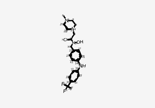 CN1CCN(CC(=O)N(O)Cc2ccc(Nc3ccc(C(F)(F)F)cc3)cc2)CC1